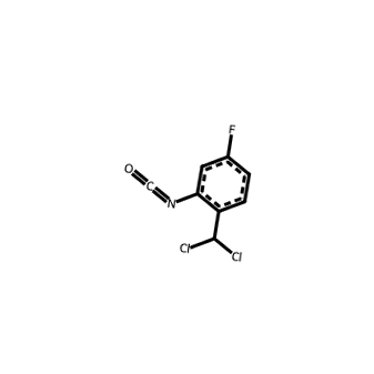 O=C=Nc1cc(F)ccc1C(Cl)Cl